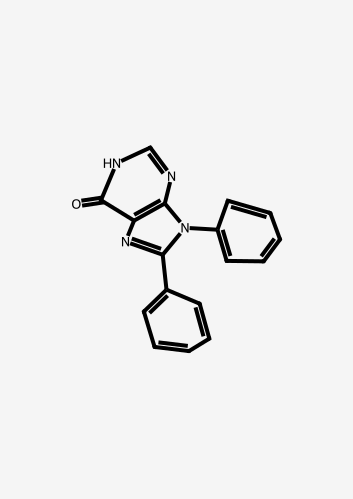 O=c1[nH]cnc2c1nc(-c1ccccc1)n2-c1ccccc1